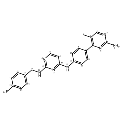 Cc1cnc(N)nc1-c1ccc(Nc2ccnc(NCc3ccc(F)cc3)n2)cc1